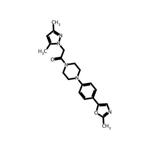 Cc1cc(C)n(CC(=O)N2CCN(c3ccc(-c4cnc(C)o4)cc3)CC2)n1